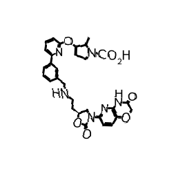 CC1C(Oc2cccc(-c3cccc(CNCC[C@H]4CN(c5ccc6c(n5)NC(=O)CO6)C(=O)O4)c3)n2)CCN1C(=O)O